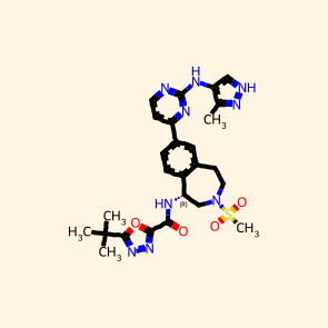 Cc1n[nH]cc1Nc1nccc(-c2ccc3c(c2)CCN(S(C)(=O)=O)C[C@@H]3NC(=O)c2nnc(C(C)(C)C)o2)n1